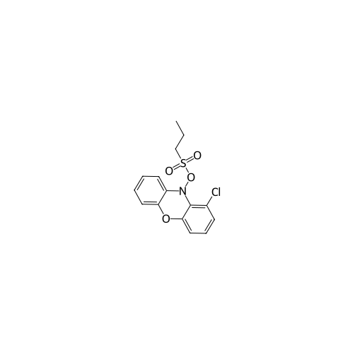 CCCS(=O)(=O)ON1c2ccccc2Oc2cccc(Cl)c21